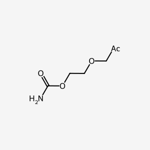 CC(=O)COCCOC(N)=O